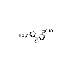 O=COc1cccc([S+]([O-])c2cccc(C(=O)O)c2)c1